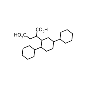 O=C(O)CC(C(=O)O)C1CC(C2CCCCC2)CCC1C1CCCCC1